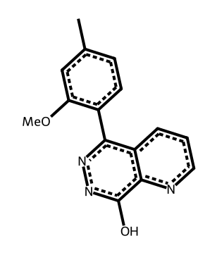 COc1cc(C)ccc1-c1nnc(O)c2ncccc12